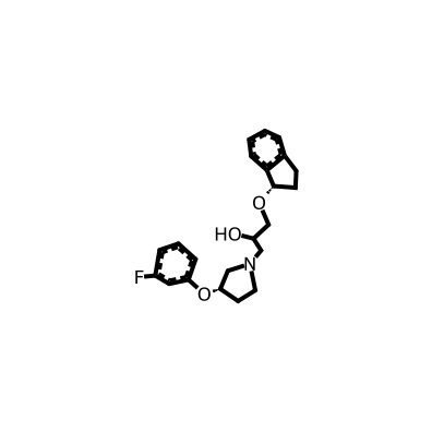 OC(CO[C@H]1CCc2ccccc21)CN1CC[C@H](Oc2cccc(F)c2)C1